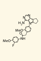 COc1ccc(NC(=O)Cc2ccc(-n3c4c(c5ncnc(N)c53)CCC4)cc2OC)cc1F